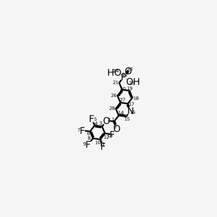 O=C(Oc1c(F)c(F)c(F)c(F)c1F)c1cnc2ccc(CP(=O)(O)O)cc2c1